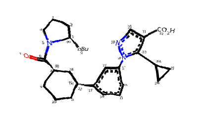 CCCC[C@@H]1CCCN1C(=O)[C@@H]1CCC[C@H](c2cccc(-n3ncc(C(=O)O)c3C3CC3)c2)C1